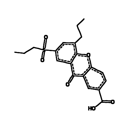 CCCc1cc(S(=O)(=O)CCC)cc2c(=O)c3cc(C(=O)O)ccc3oc12